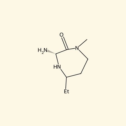 CCC1CCN(C)C(=O)[C@@H](N)N1